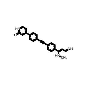 CN/C(=C\C=N)c1ccc(C#Cc2ccc(-c3cc[nH]c(=O)c3)cc2)cc1